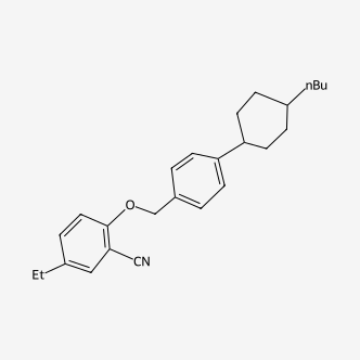 CCCCC1CCC(c2ccc(COc3ccc(CC)cc3C#N)cc2)CC1